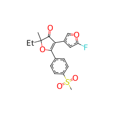 CCC1(C)OC(c2ccc(S(C)(=O)=O)cc2)=C(c2coc(F)c2)C1=O